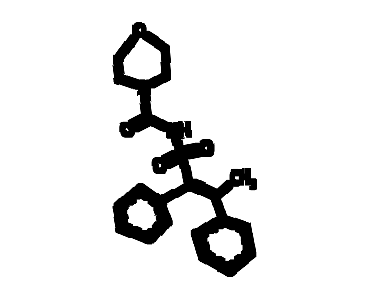 CC(=C(c1ccccc1)S(=O)(=O)NC(=O)N1CCOCC1)c1ccccc1